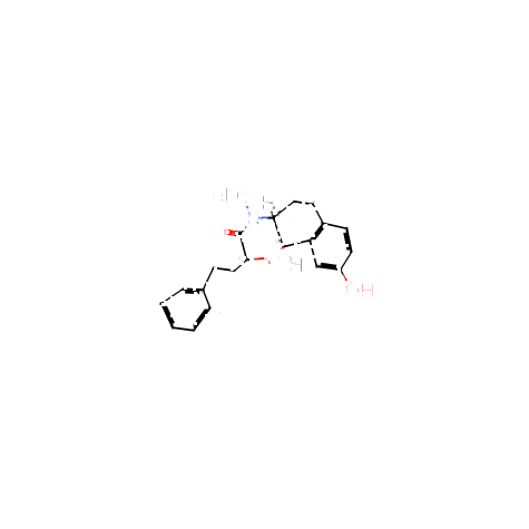 CCCN1C(=O)C(CCc2ccccc2)O[C@@H]2c3cc(O)ccc3CC[C@H]21